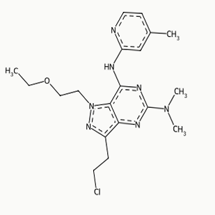 CCOCCn1nc(CCCl)c2nc(N(C)C)nc(Nc3cc(C)ccn3)c21